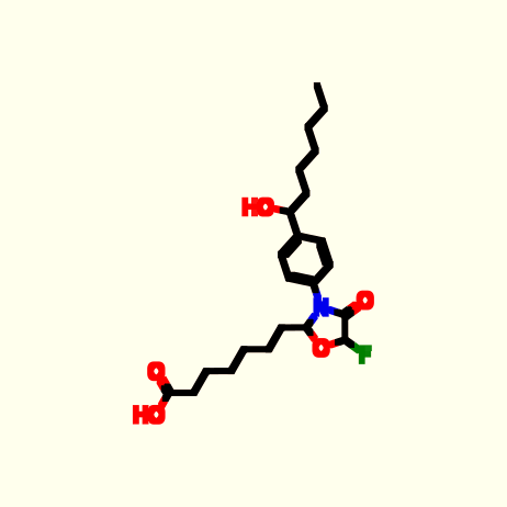 CCCCCCC(O)c1ccc(N2C(=O)C(F)OC2CCCCCCC(=O)O)cc1